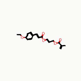 C=C(C)C(=O)OCCCOC(=O)/C=C/c1ccc(OCC)cc1